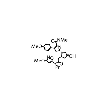 CNC(=O)C1=C(c2ccc(OC)cc2)CC([C@@H]2C[C@@H](O)CC2CC(=O)C(c2cc(OC)no2)C(C)C)=N1